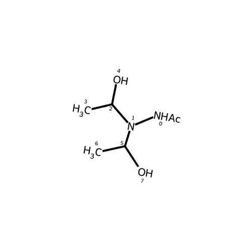 CC(=O)NN(C(C)O)C(C)O